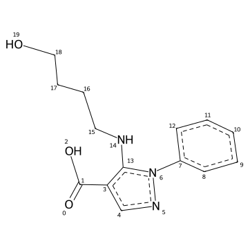 O=C(O)c1cnn(-c2ccccc2)c1NCCCCO